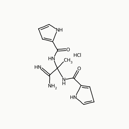 CC(NC(=O)c1ccc[nH]1)(NC(=O)c1ccc[nH]1)C(=N)N.Cl